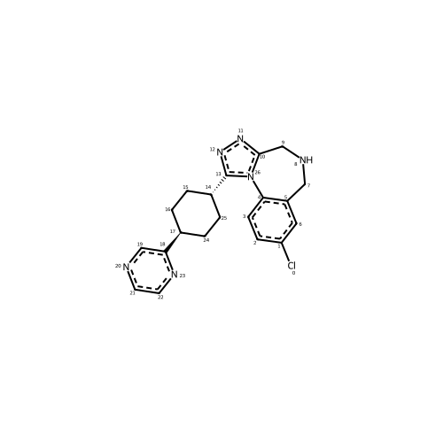 Clc1ccc2c(c1)CNCc1nnc([C@H]3CC[C@H](c4cnccn4)CC3)n1-2